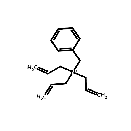 C=CC[N+](CC=C)(CC=C)Cc1ccccc1